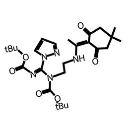 CC(NCCN(C(=O)OC(C)(C)C)C(=NC(=O)OC(C)(C)C)n1cccn1)=C1C(=O)CC(C)(C)CC1=O